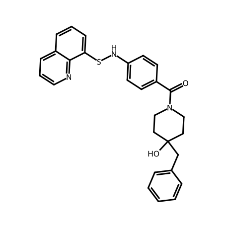 O=C(c1ccc(NSc2cccc3cccnc23)cc1)N1CCC(O)(Cc2ccccc2)CC1